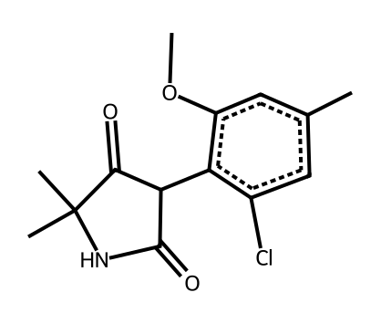 COc1cc(C)cc(Cl)c1C1C(=O)NC(C)(C)C1=O